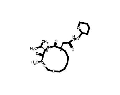 CC(C)[C@@H]1NC(=O)[C@@H](CC(=O)NOC2CCCCO2)CCCCCCCCN(C)C1=O